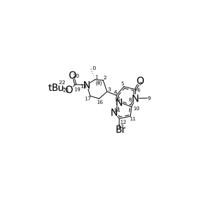 C[C@@H]1CC(c2cc(=O)n(C)c3cc(Br)nn23)CCN1C(=O)OC(C)(C)C